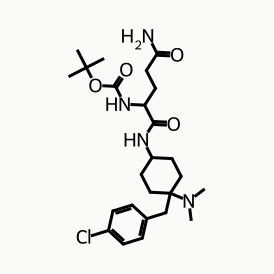 CN(C)C1(Cc2ccc(Cl)cc2)CCC(NC(=O)C(CCC(N)=O)NC(=O)OC(C)(C)C)CC1